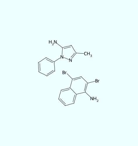 Cc1cc(N)n(-c2ccccc2)n1.Nc1c(Br)cc(Br)c2ccccc12